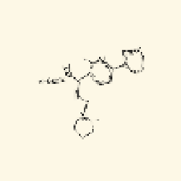 CCCCCCN/C(=N/CN1CCCC[C@H]1C)c1ccc(-c2ccccc2)nc1C